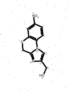 O=[N+]([O-])c1ccc2c(c1)OCc1nc(CO)cn1-2